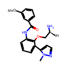 COc1cccc(C(=O)Nc2cccc(-c3ccnn3C)c2OC[C@@H](N)C(C)C)c1